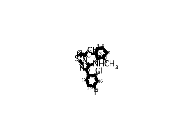 Cc1cccc(C)c1Nc1c(-c2ccc(F)cc2Cl)nc2scc(C)n12